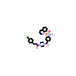 O=C(CCc1ccc(C(F)(F)F)cc1)N1CCN(C(=O)c2ccc(NS(=O)(=O)c3cccc4cccnc34)cc2)CC1